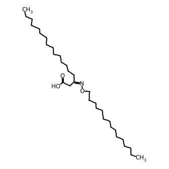 CCCCCCCCCCCCCCCON=C(CCCCCCCCCCCCCCC)CC(=O)O